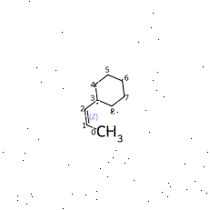 C/C=C\[C]1CCCCC1